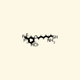 Cl.N[C@@H](CS)CCCCOc1cccc(C(F)(F)F)c1